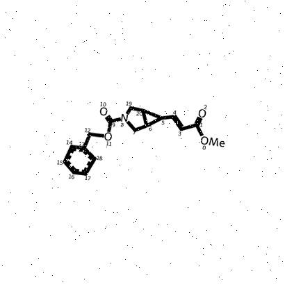 COC(=O)C=CC1C2CN(C(=O)OCc3ccccc3)CC12